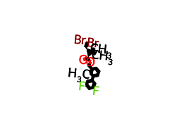 Cc1c(COC(=O)[C@@H]2[C@H](C=C(Br)Br)C2(C)C)cccc1-c1cc(F)cc(F)c1